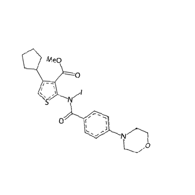 COC(=O)c1c(C2CCCC2)csc1N(I)C(=O)c1ccc(N2CCOCC2)cc1